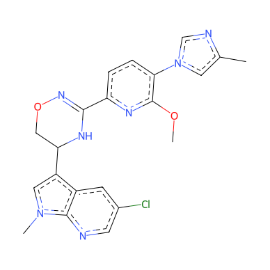 COc1nc(C2=NOCC(c3cn(C)c4ncc(Cl)cc34)N2)ccc1-n1cnc(C)c1